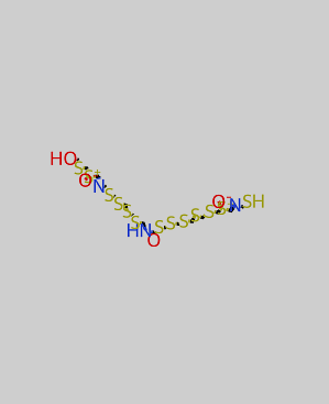 O=C(NCSCSCSCSC/N=C/[S+]([O-])CSCO)SCSCSCSCSC[S+]([O-])/C=N/CS